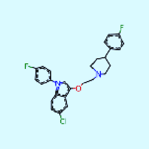 Fc1ccc(C2CCN(CCOc3cn(-c4ccc(F)cc4)c4ccc(Cl)cc34)CC2)cc1